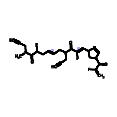 C#CCN(C)C(=O)C(F)C/C=C/CN(CC#C)C(=O)/C(F)=C/C1CN(C(=O)C(=C)F)C=N1